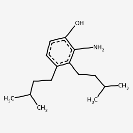 CC(C)CCc1ccc(O)c(N)c1CCC(C)C